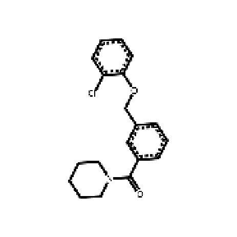 O=C(c1cccc(COc2ccccc2Cl)c1)N1CCCCC1